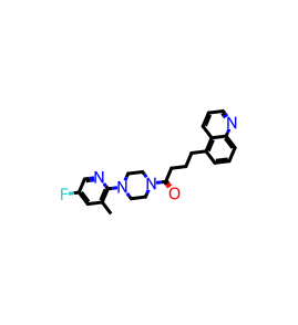 Cc1cc(F)cnc1N1CCN(C(=O)CCCc2cccc3ncccc23)CC1